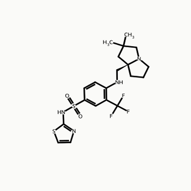 CC1(C)CN2CCC[C@]2(CNc2ccc(S(=O)(=O)Nc3nccs3)cc2C(F)(F)F)C1